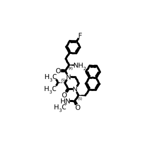 CNC(=O)[C@H](Cc1ccc2ccccc2c1)N1CCN(C(=O)[C@H](N)Cc2ccc(F)cc2)[C@@H](C(C)C)C1=O